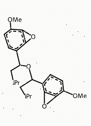 COc1ccc(C(CC(C)C)OC(CC(C)C)c2ccc(OC)c3c2O3)c2c1O2